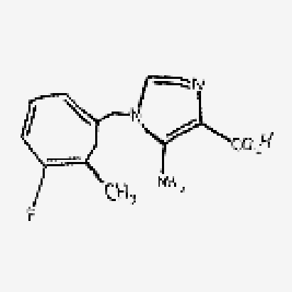 Cc1c(F)cccc1-n1cnc(C(=O)O)c1N